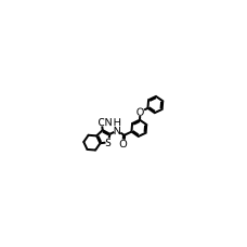 N#Cc1c(NC(=O)c2cccc(Oc3ccccc3)c2)sc2c1CCCC2